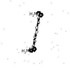 Nc1ccc2cccc(OCCOCCOCCOCCOCCOCCOc3cccc4ccc(N)nc34)c2n1